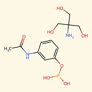 CC(=O)Nc1cccc(OP(O)O)c1.NC(CO)(CO)CO